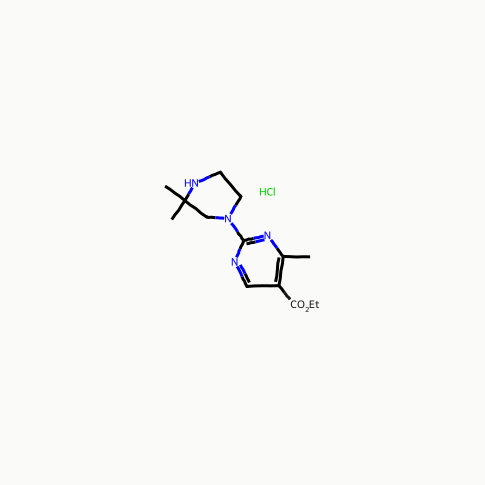 CCOC(=O)c1cnc(N2CCNC(C)(C)C2)nc1C.Cl